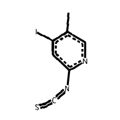 Cc1cnc(N=C=S)cc1I